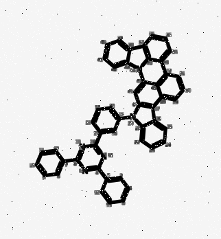 c1ccc(-c2nc(-c3ccccc3)nc(-c3cccc(-n4c5ccccc5c5c6cccc7c8cccc9c%10ccccc%10n(c(cc54)c76)c89)c3)n2)cc1